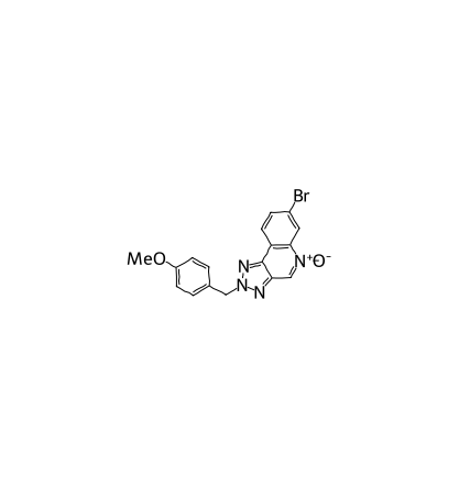 COc1ccc(Cn2nc3c[n+]([O-])c4cc(Br)ccc4c3n2)cc1